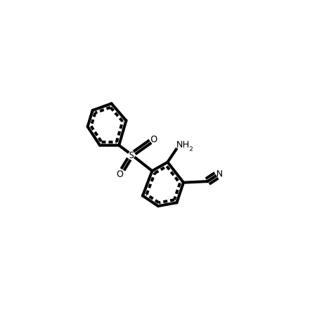 N#Cc1cccc(S(=O)(=O)c2ccccc2)c1N